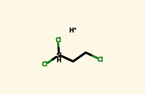 ClCC[SiH](Cl)Cl.[H+]